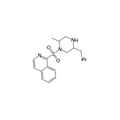 CC(C)CC1CN(S(=O)(=O)c2nccc3ccccc23)C(C)CN1